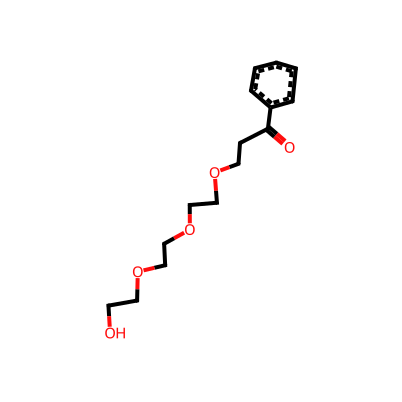 O=C(CCOCCOCCOCCO)c1ccccc1